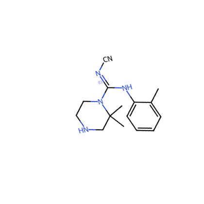 Cc1ccccc1N/C(=N\C#N)N1CCNCC1(C)C